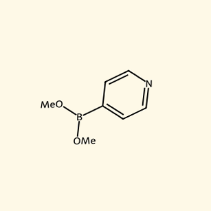 COB(OC)c1ccncc1